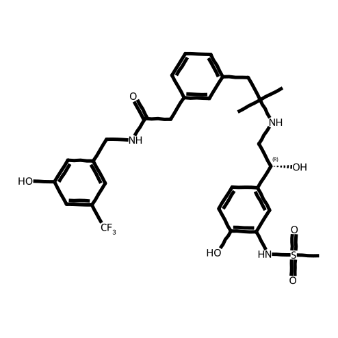 CC(C)(Cc1cccc(CC(=O)NCc2cc(O)cc(C(F)(F)F)c2)c1)NC[C@H](O)c1ccc(O)c(NS(C)(=O)=O)c1